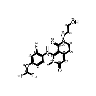 Cn1c(Nc2ccc(OC(F)F)cc2F)c2c(cc1=O)CCN(OCCO)C2=O